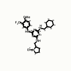 CCN1CCCC1CNc1nc(NCC2CCCCC2)nc(Nc2ccc(OC)c(C(F)(F)F)c2)n1